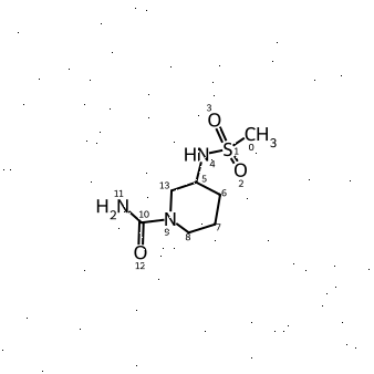 CS(=O)(=O)NC1CCCN(C(N)=O)C1